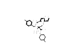 Cc1ccc(CN2C(=O)c3cc4occc4n3CC2(C)C(=O)NC2CCC(C)CC2)cc1